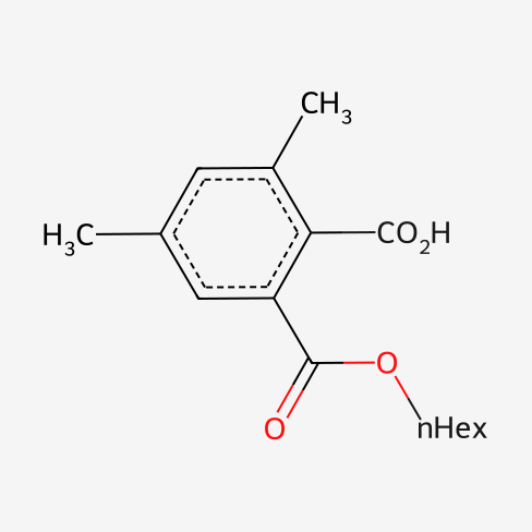 CCCCCCOC(=O)c1cc(C)cc(C)c1C(=O)O